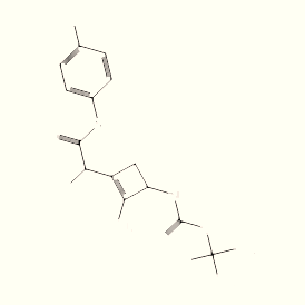 CC1=C(C(C)C(=O)Nc2ccc(F)cc2)CC1NC(=O)OC(C)(C)C